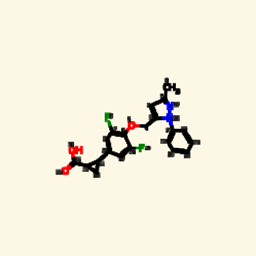 Cc1cc(COc2c(F)cc(C3CC3C(=O)O)cc2F)n(-c2ccccc2)n1